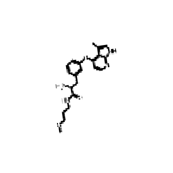 COCCCNC(=O)C(N)Cc1cccc(Oc2ccnc3[nH]cc(C)c23)c1